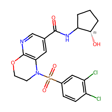 O=C(NC1CCC[C@@H]1O)c1cnc2c(c1)N(S(=O)(=O)c1ccc(Cl)c(Cl)c1)CCO2